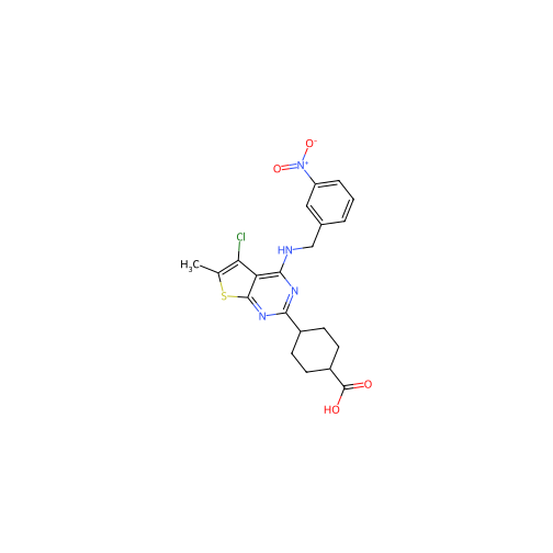 Cc1sc2nc(C3CCC(C(=O)O)CC3)nc(NCc3cccc([N+](=O)[O-])c3)c2c1Cl